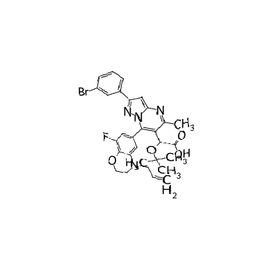 C=CCN1CCOc2c(F)cc(-c3c(C(OC(C)(C)C)C(=O)O)c(C)nc4cc(-c5cccc(Br)c5)nn34)cc21